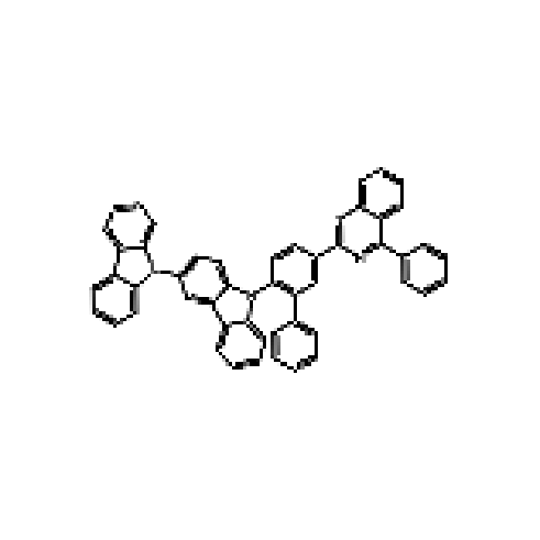 c1ccc(-c2cc(-c3nc(-c4ccccc4)c4ccccc4n3)ccc2-n2c3ccccc3c3cc(-n4c5ccccc5c5ccccc54)ccc32)cc1